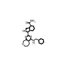 NC(=O)c1cccc2c(-c3nc4c(c(NCc5ccccc5)n3)CCCOC4)[nH]cc12